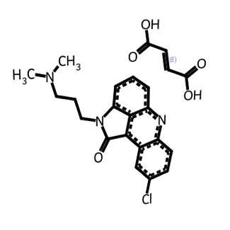 CN(C)CCCN1C(=O)c2c3cc(Cl)ccc3nc3cccc1c23.O=C(O)/C=C/C(=O)O